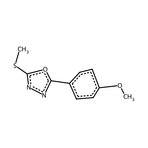 COc1ccc(-c2nnc(SC)o2)cc1